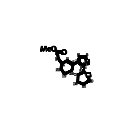 COC(=O)CC1C=C(c2ccnn2C2CCCCO2)CCC1